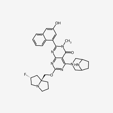 Cn1c(-c2cc(O)cc3ccccc23)nc2nc(OC[C@@]34CCCN3C[C@H](F)C4)nc(N3CC4CCC(C3)N4)c2c1=O